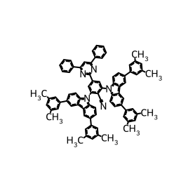 Cc1cc(C)cc(-c2ccc3c(c2)c2cc(-c4cc(C)cc(C)c4)ccc2n3-c2cc(-c3nc(-c4ccccc4)cc(-c4ccccc4)n3)cc(-n3c4ccc(-c5cc(C)cc(C)c5)cc4c4cc(-c5cc(C)cc(C)c5)ccc43)c2C#N)c1